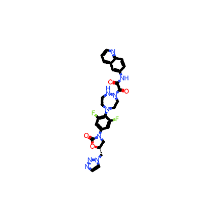 O=C(Nc1ccc2ncccc2c1)C(=O)N1CCN(c2c(F)cc(N3C[C@H](Cn4ccnn4)OC3=O)cc2F)CCN1